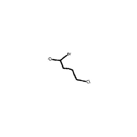 [O]C(Br)CCCCl